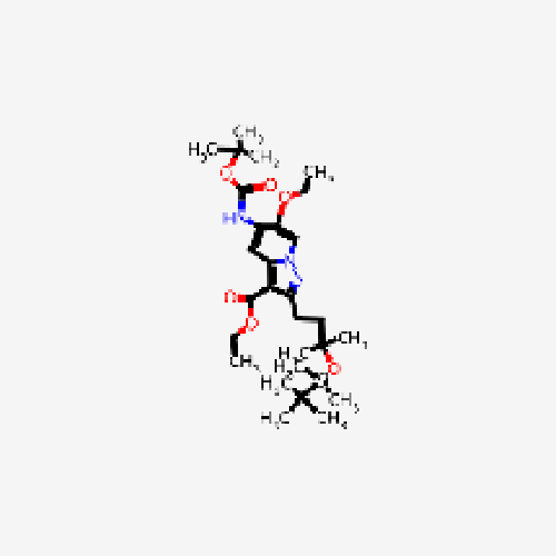 CCOC(=O)c1c(CCC(C)(C)O[Si](C)(C)C(C)(C)C)nn2cc(OCC)c(NC(=O)OC(C)(C)C)cc12